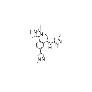 CC1=C2c3ccc(-c4cnn(C)c4)cc3C(Nc3cc(C)nn3C)CCN2NN1